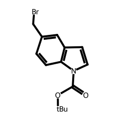 CC(C)(C)OC(=O)n1ccc2cc(CBr)ccc21